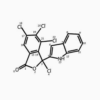 O=C1OC(Cl)(c2cc3ccccc3[nH]2)c2c1cc(Cl)c(Cl)c2Cl